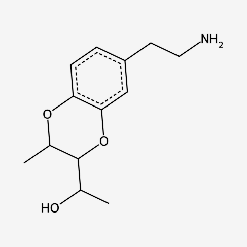 CC(O)C1Oc2cc(CCN)ccc2OC1C